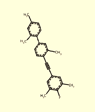 Cc1ccc(-c2ccc(C#Cc3cc(C)c(F)c(C)c3)c(C)c2)c(C)c1